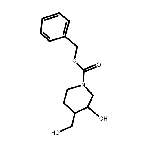 O=C(OCc1ccccc1)N1CCC(CO)C(O)C1